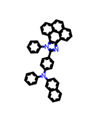 c1ccc(N(c2ccc(-c3nc4c5cccc6ccc7cccc(c7c65)c4n3-c3ccccc3)cc2)c2ccc3ccccc3c2)cc1